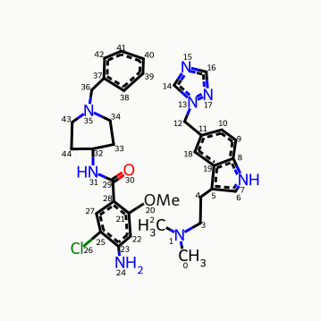 CN(C)CCc1c[nH]c2ccc(Cn3cncn3)cc12.COc1cc(N)c(Cl)cc1C(=O)NC1CCN(Cc2ccccc2)CC1